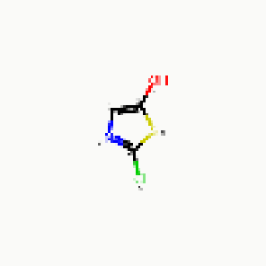 Oc1cnc(Cl)s1